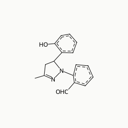 CC1=NN(c2ccccc2C=O)C(c2ccccc2O)C1